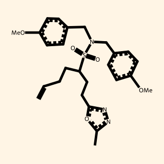 C=CCCC(CCc1nnc(C)o1)S(=O)(=O)N(Cc1ccc(OC)cc1)Cc1ccc(OC)cc1